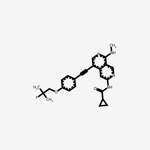 CNc1ncc(C#Cc2ccc(OCC(C)(C)F)cc2)c2cc(NC(=O)C3CC3)ncc12